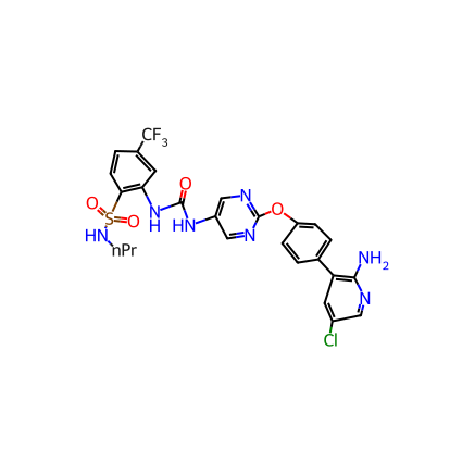 CCCNS(=O)(=O)c1ccc(C(F)(F)F)cc1NC(=O)Nc1cnc(Oc2ccc(-c3cc(Cl)cnc3N)cc2)nc1